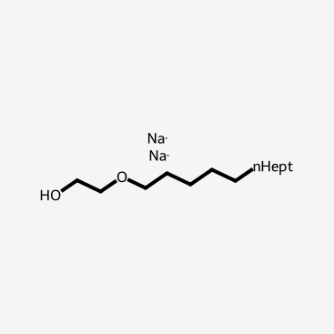 CCCCCCCCCCCCOCCO.[Na].[Na]